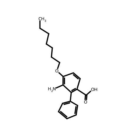 CCCCCCCOc1ccc(C(=O)O)c(-c2ccccc2)c1N